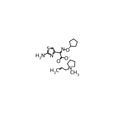 C=CC[N+]1(C)CCCC1.Nc1nc(C(=NOC2CCCC2)C(=O)[O-])cs1